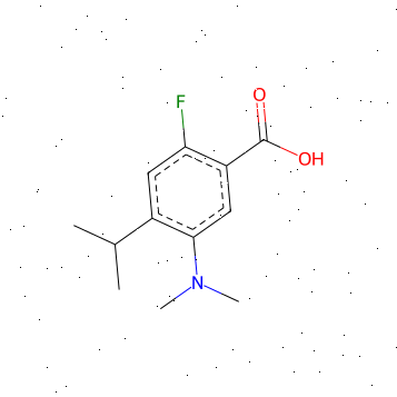 CC(C)c1cc(F)c(C(=O)O)cc1N(C)C